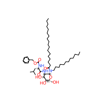 CCCCCCCCCCCCCCCCCC(=O)N(CCCCCCCCCCCC)[C@@H]1O[C@H](CO)[C@@H](O)[C@H](O)[C@H]1NC(=O)[C@H](CC(C)C)NC(=O)OCc1ccccc1